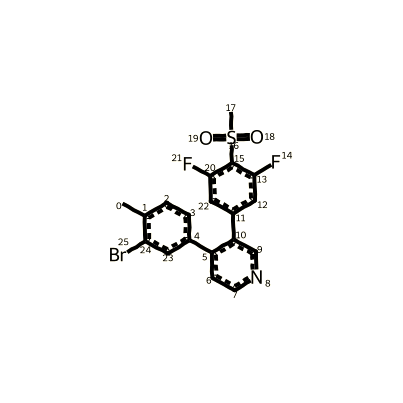 Cc1ccc(-c2ccncc2-c2cc(F)c(S(C)(=O)=O)c(F)c2)cc1Br